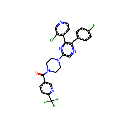 O=C(c1ccc(C(F)(F)F)nc1)N1CCN(c2cnc(-c3ccc(F)cc3)c(-c3ccncc3Cl)n2)CC1